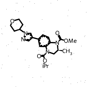 COC(=O)N1c2ccc(-c3cnn(C4CCOCC4)c3)cc2N(C(=O)OC(C)C)C[C@@H]1C